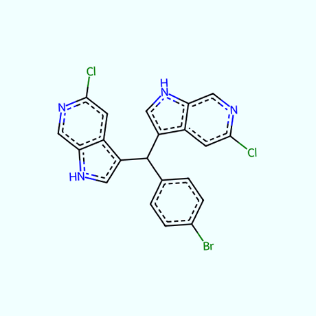 Clc1cc2c(C(c3ccc(Br)cc3)c3c[nH]c4cnc(Cl)cc34)c[nH]c2cn1